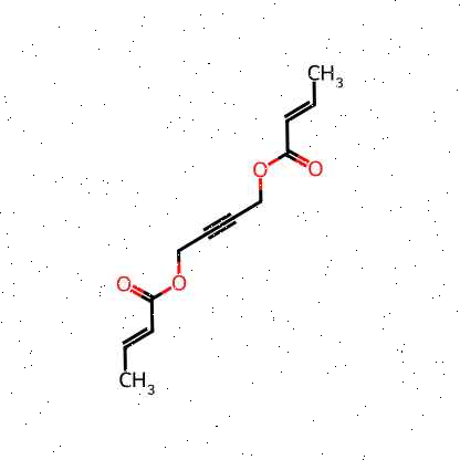 C/C=C/C(=O)OCC#CCOC(=O)/C=C/C